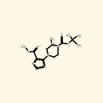 COC(=O)c1ncsc1N1CCN(C(=O)OC(C)(C)C)[C@H](C)C1